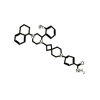 CC(C)c1ccccc1C1CN(C2CCCc3ccccc32)CCN1C1CC2(CCN(c3ccc(C(N)=O)cc3)CC2)C1